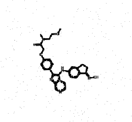 COCCN(C)C(=O)COc1ccc(-c2nc3cnccn3c2Nc2ccc3c(c2)CCC3=NO)cc1